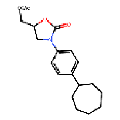 COCC1CN(c2ccc(C3CCCCCC3)cc2)C(=O)O1